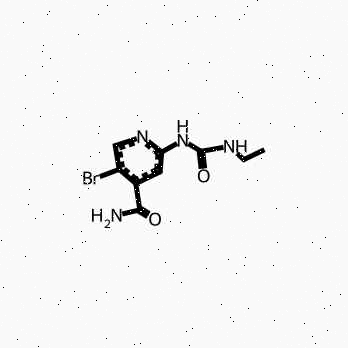 CCNC(=O)Nc1cc(C(N)=O)c(Br)cn1